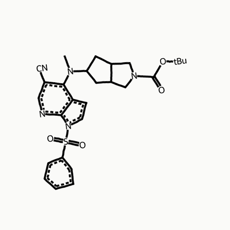 CN(c1c(C#N)cnc2c1ccn2S(=O)(=O)c1ccccc1)C1CC2CN(C(=O)OC(C)(C)C)CC2C1